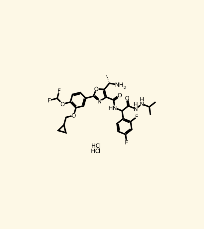 CC(C)NNC(=O)C(NC(=O)c1nc(-c2ccc(OC(F)F)c(OCC3CC3)c2)oc1[C@H](C)N)c1ccc(F)cc1F.Cl.Cl